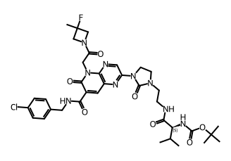 CC(C)[C@H](NC(=O)OC(C)(C)C)C(=O)NCCN1CCN(c2cnc3c(cc(C(=O)NCc4ccc(Cl)cc4)c(=O)n3CC(=O)N3CC(C)(F)C3)n2)C1=O